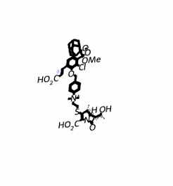 COC1(c2ccc(/C=C/C(=O)O)c(OCc3ccc([N+](C)(C)CCSC4=C(C(=O)O)N5C(=O)[C@H]([C@@H](C)O)[C@H]5[C@H]4C)cc3)c2Cl)OOC12C1CC3CC(C1)CC2C3